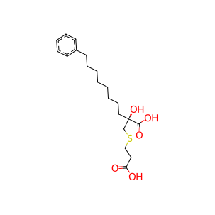 O=C(O)CCSC[C@](O)(CCCCCCCCc1ccccc1)C(=O)O